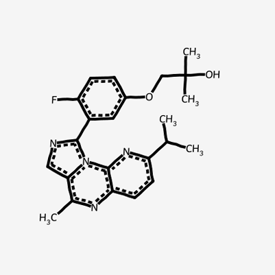 Cc1nc2ccc(C(C)C)nc2n2c(-c3cc(OCC(C)(C)O)ccc3F)ncc12